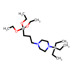 CCO[Si](CCCN1CCN([Si](CC)(CC)CC)CC1)(OCC)OCC